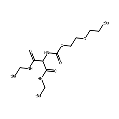 CC(C)(C)CCOCCOC(=O)NC(C(=O)NCC(C)(C)C)C(=O)NCC(C)(C)C